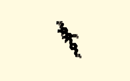 CCCC1CCC(CCc2c(C)cc(-c3ccc(OCC)c(F)c3F)c(F)c2F)CC1